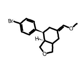 COC=C1CC2COC[C@H]2[C@@H](c2ccc(Br)cc2)C1